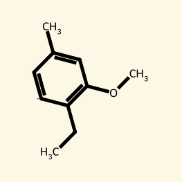 CCc1[c]cc(C)cc1OC